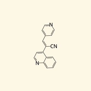 N#C/C(=C\c1ccncc1)c1ccnc2ccccc12